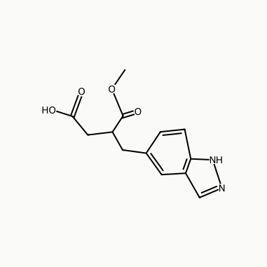 COC(=O)C(CC(=O)O)Cc1ccc2[nH]ncc2c1